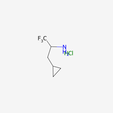 Cl.NC(CC1CC1)C(F)(F)F